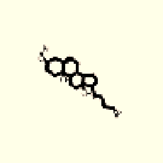 CC(C)CCCCC1CCC2C3CC=C4CC(OC(C)C)CCC4(C)C3CCC12C